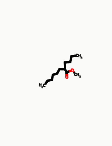 CCCCCCC(CCCC)C(=O)OC